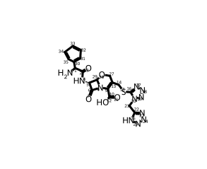 NC(C(=O)N[C@H]1C(=O)N2C(C(=O)O)=C(CSc3nnnn3Cc3nnn[nH]3)COC12)c1ccccc1